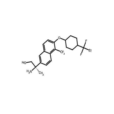 CCC(F)(F)C1CCC(Oc2ccc3cc([C@@](C)(N)CO)ccc3c2C(F)(F)F)CC1